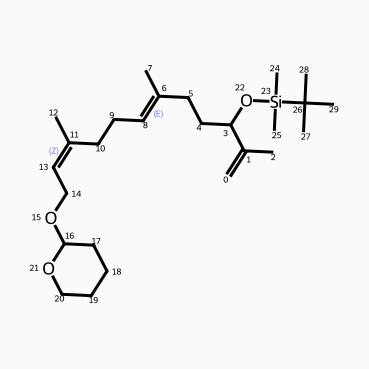 C=C(C)C(CC/C(C)=C/CC/C(C)=C\COC1CCCCO1)O[Si](C)(C)C(C)(C)C